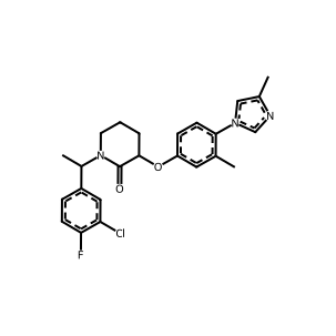 Cc1cn(-c2ccc(OC3CCCN(C(C)c4ccc(F)c(Cl)c4)C3=O)cc2C)cn1